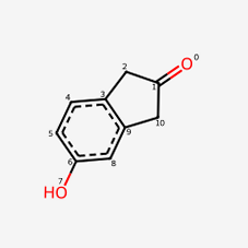 O=C1Cc2ccc(O)cc2C1